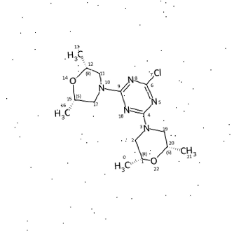 C[C@@H]1CN(c2nc(Cl)nc(N3C[C@@H](C)O[C@@H](C)C3)n2)C[C@H](C)O1